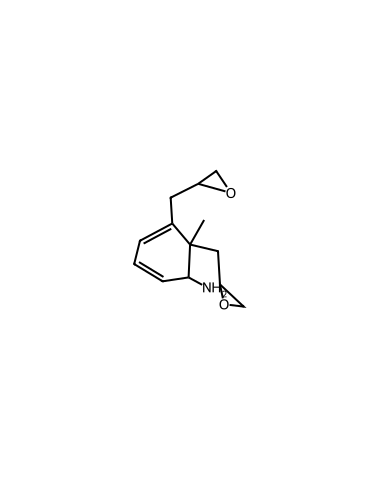 CC1(CC2CO2)C(CC2CO2)=CC=CC1N